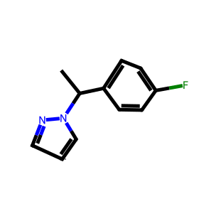 CC(c1ccc(F)cc1)n1c[c]cn1